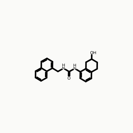 O=C(NCc1cccc2ccccc12)Nc1cccc2c1CC(O)CC2